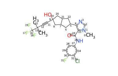 Cn1cnc(C2CC3CC(O)(C#CC(C)(C)C(F)(F)F)CC3C2)c1C(=O)Nc1ccc(F)c(Cl)c1